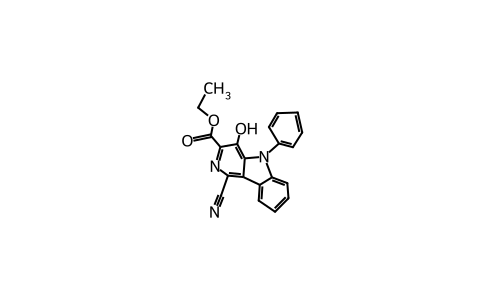 CCOC(=O)c1nc(C#N)c2c3ccccc3n(-c3ccccc3)c2c1O